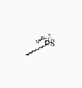 CCCCCCCCCCCCc1ccc(O)c(C(=O)[O-])c1.C[N+](C)(C)CCO